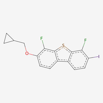 Fc1c(I)ccc2c1sc1c(F)c(OCC3CC3)ccc12